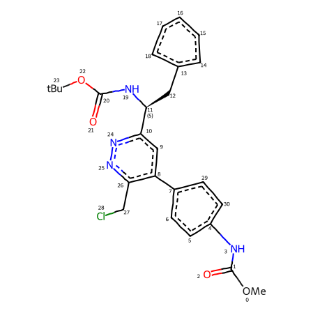 COC(=O)Nc1ccc(-c2cc([C@H](Cc3ccccc3)NC(=O)OC(C)(C)C)nnc2CCl)cc1